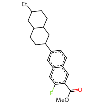 CCC1CCC2CC(c3ccc4cc(C(=O)OC)c(F)cc4c3)CCC2C1